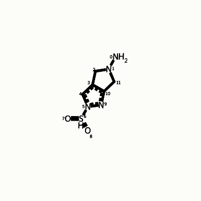 NN1Cc2cn([SH](=O)=O)nc2C1